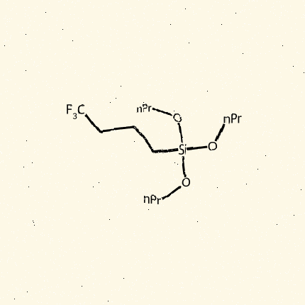 CCCO[Si](CCCC(F)(F)F)(OCCC)OCCC